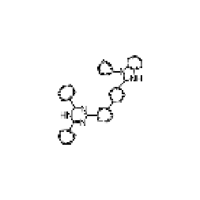 c1ccc(C2=NC(c3cccc(-c4ccc(C5Nc6ccccc6N5c5ccccc5)cc4)c3)=NC(c3ccccc3)N2)cc1